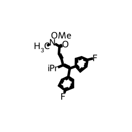 CON(C)C(=O)C=CC(=C(c1ccc(F)cc1)c1ccc(F)cc1)C(C)C